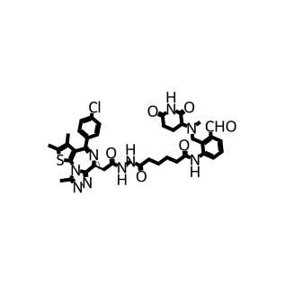 Cc1sc2c(c1C)C(c1ccc(Cl)cc1)=N[C@@H](CC(=O)NNC(=O)CCCCC(=O)Nc1cccc(C=O)c1CN(C)C1CCC(=O)NC1=O)c1nnc(C)n1-2